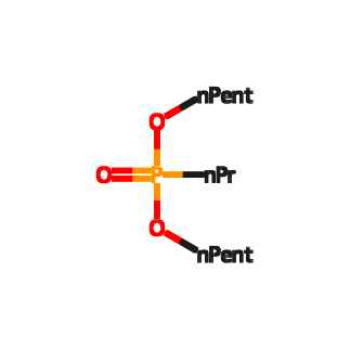 CCCCCOP(=O)(CCC)OCCCCC